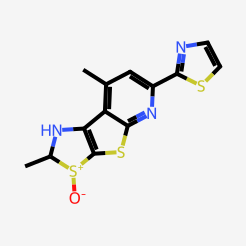 Cc1cc(-c2nccs2)nc2sc3c(c12)NC(C)[S+]3[O-]